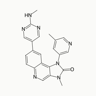 CNc1ncc(-c2ccc3ncc4c(c3c2)n(-c2cncc(C)c2)c(=O)n4C)cn1